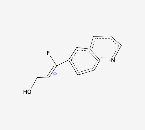 OC/C=C(\F)c1ccc2ncccc2c1